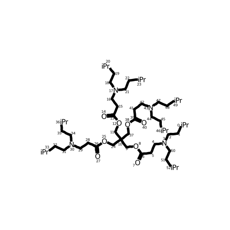 CC(C)CCN(CCC(=O)OCC(COC(=O)CCN(CCC(C)C)CCC(C)C)(COC(=O)CCN(CCC(C)C)CCC(C)C)COC(=O)CCN(CCC(C)C)CCC(C)C)CCC(C)C